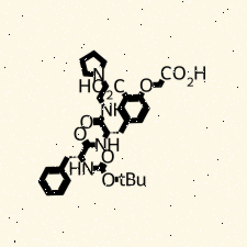 CC(C)(C)OC(=O)N[C@H](Cc1ccccc1)C(=O)N[C@@H](Cc1ccc(OCC(=O)O)c(C(=O)O)c1)C(=O)NCCN1CCCC1